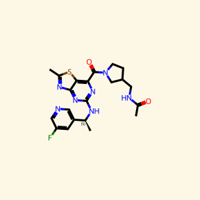 CC(=O)NCC1CCN(C(=O)c2nc(N[C@@H](C)c3cncc(F)c3)nc3nc(C)sc23)C1